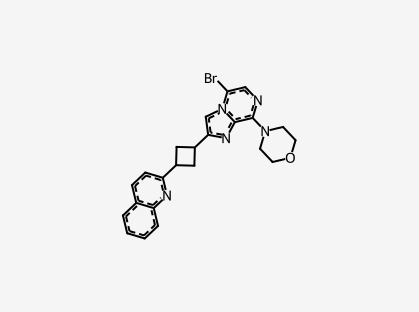 Brc1cnc(N2CCOCC2)c2nc(C3CC(c4ccc5ccccc5n4)C3)cn12